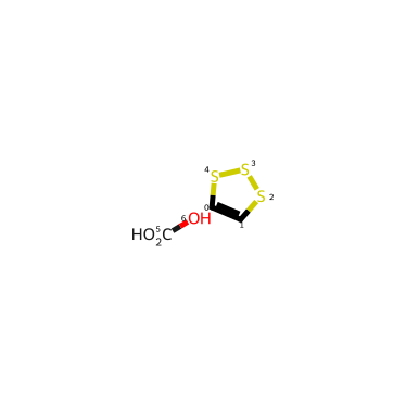 C1=CSSS1.O=C(O)O